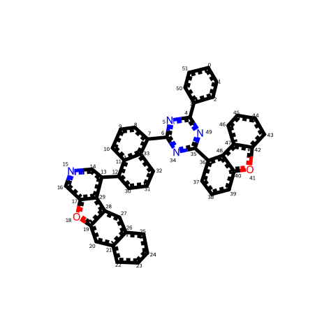 c1ccc(-c2nc(-c3cccc4c(-c5cncc6oc7cc8ccccc8cc7c56)cccc34)nc(-c3cccc4oc5ccccc5c34)n2)cc1